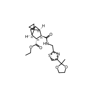 CCOC(=O)[C@H]1[C@H](C(=O)NCc2nc(C3(C)OCCO3)cs2)[C@@H]2C=C[C@H]1C21CC1